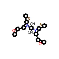 N#Cc1cc(-n2c3ccc(-c4ccc5oc6ccccc6c5c4)cc3c3cc4c(cc32)sc2ccccc24)c(C#N)cc1-n1c2ccc(-c3ccc4oc5ccccc5c4c3)cc2c2cc3c(cc21)sc1ccccc13